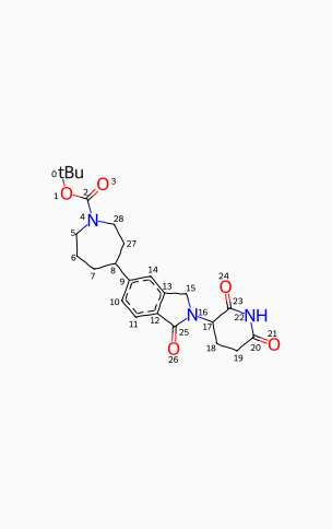 CC(C)(C)OC(=O)N1CCCC(c2ccc3c(c2)CN(C2CCC(=O)NC2=O)C3=O)CC1